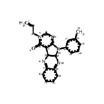 C=CCn1cnc2c(c1=O)C1N=c3ccccc3=NC1N2c1cccc(C)c1